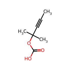 CC#CC(C)(C)OC(=O)O